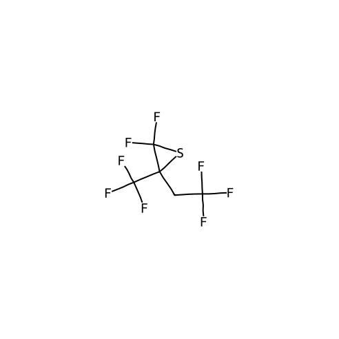 FC(F)(F)CC1(C(F)(F)F)SC1(F)F